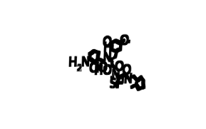 COc1cc(C[C@H](NC(=O)c2cccc(N)c2Cl)[C@H](O)C(=O)N2CSC(C)(C)C2C(=O)NCc2ccccc2C)cc(OC)c1